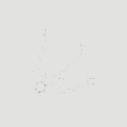 C[Si](C)(CCCCOCC1CO1)O[Si](C)(C)O[Si](O[Si](C)(C)CCCCOCC1CO1)(O[Si](C)(C)CCCCOC1CCO1)c1ccccc1